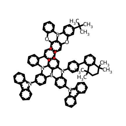 CC(C)(C)c1ccc2c(c1)Oc1cc(-c3cc4c5c(c3)N(c3ccccc3-c3ccccc3)c3cc(-n6c7ccccc7c7ccccc76)ccc3B5c3ccc(-n5c6ccccc6c6ccccc65)cc3N4c3ccc(-c4cccc5c4C(C)(C)CCC5(C)C)cc3)cc3c1B2c1ccccc1O3